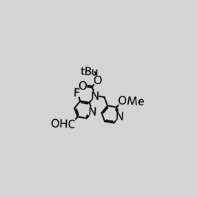 COc1ncccc1CN(C(=O)OC(C)(C)C)c1ncc(C=O)cc1F